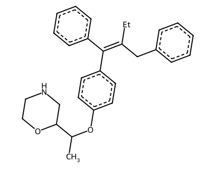 CC/C(Cc1ccccc1)=C(\c1ccccc1)c1ccc(OC(C)C2CNCCO2)cc1